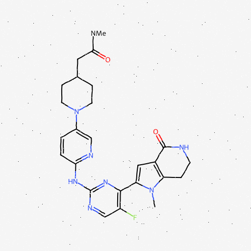 CNC(=O)CC1CCN(c2ccc(Nc3ncc(F)c(-c4cc5c(n4C)CCNC5=O)n3)nc2)CC1